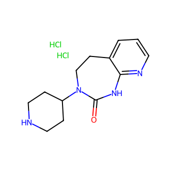 Cl.Cl.O=C1Nc2ncccc2CCN1C1CCNCC1